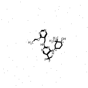 CCOc1ncncc1CNc1ncc(C(F)(F)F)c(N[C@@H]2CC[C@H](O)C(C)(C)C2)n1